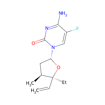 C=C[C@]1(CC)O[C@@H](n2cc(F)c(N)nc2=O)C[C@@H]1C